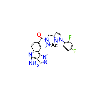 CC(=O)N(C)N(Cc1ccn(-c2ccc(F)cc2F)n1)C(=O)c1ccc2nc(N)c3cnn(C)c3c2c1